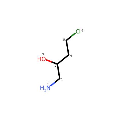 NCC(O)CCCl